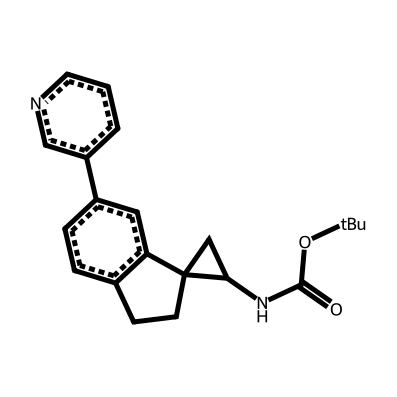 CC(C)(C)OC(=O)NC1CC12CCc1ccc(-c3cccnc3)cc12